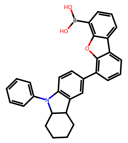 OB(O)c1cccc2c1oc1c(-c3ccc4c(c3)C3CCCCC3N4c3ccccc3)cccc12